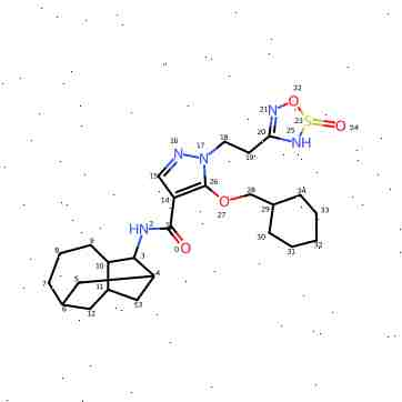 O=C(NC1C2CC3CCCC1C(C3)C2)c1cnn(CCC2=NOS(=O)N2)c1OCC1CCCCC1